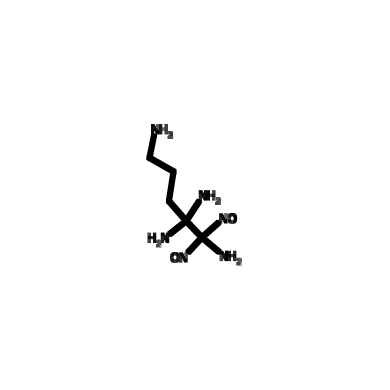 NCCCC(N)(N)C(N)(N=O)N=O